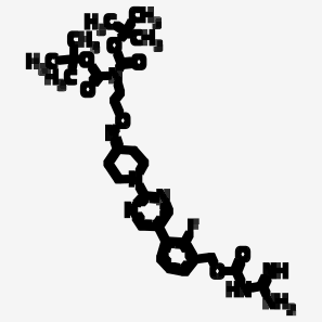 CC(C)(C)OC(=O)N(CCON=C1CCN(c2ncc(-c3cccc(COC(=O)NC(=N)N)c3F)cn2)CC1)C(=O)OC(C)(C)C